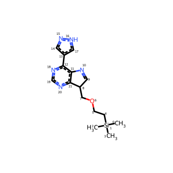 C[Si](C)(C)CCOCC1C=Nc2c(-c3cn[nH]c3)ncnc21